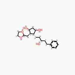 O[C@@H](CCc1ccccc1)CC[C@@H]1[C@@H](CC2OCCO2)[C@@H](O)C[C@H]1O